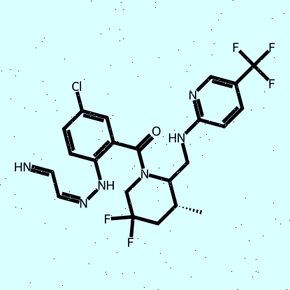 C[C@@H]1CC(F)(F)CN(C(=O)c2cc(Cl)ccc2N/N=C\C=N)C1CNc1ccc(C(F)(F)F)cn1